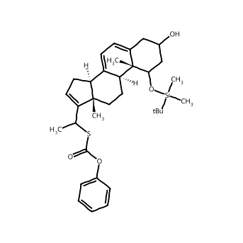 CC(SC(=O)Oc1ccccc1)C1=CC[C@H]2C3=CC=C4CC(O)CC(O[Si](C)(C)C(C)(C)C)[C@]4(C)[C@H]3CC[C@]12C